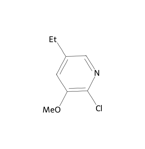 [CH2]Oc1cc(CC)cnc1Cl